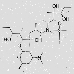 CC[C@@H](O)[C@H](C)[C@@H](OC1C[C@@H](N(C)C)C[C@@H](C)O1)[C@](C)(O)C[C@@H](C)CN(C)[C@H](C)[C@@H](O[Si](C)(C)C(C)(C)C)[C@](C)(O)[C@H](O)CC